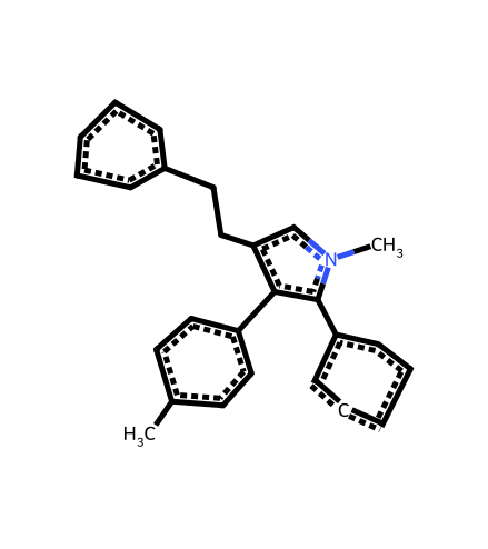 Cc1ccc(-c2c(CCc3ccccc3)cn(C)c2-c2ccccc2)cc1